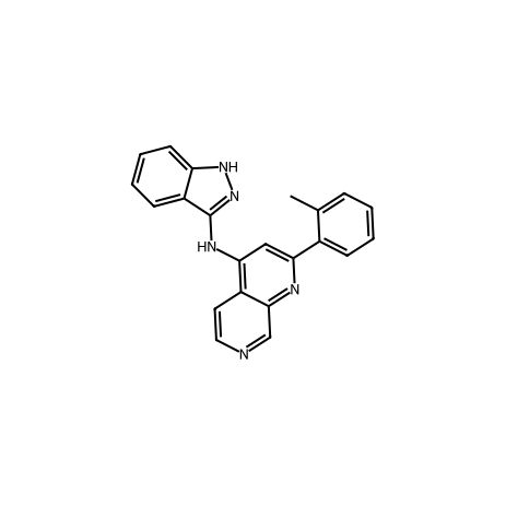 Cc1ccccc1-c1cc(Nc2n[nH]c3ccccc23)c2ccncc2n1